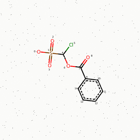 [O]S(=O)(=O)C(Cl)OC(=O)c1ccccc1